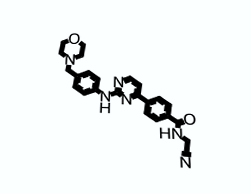 N#CCNC(=O)c1ccc(-c2ccnc(Nc3ccc(CN4CCOCC4)cc3)n2)cc1